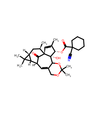 CC1=C[C@]23C(=O)[C@@H](C=C4COC(C)(C)OC4[C@]2(O)[C@H]1OC(=O)C1(C#N)CCCCC1)[C@H]1[C@@H](C[C@H]3C)C1(C)C